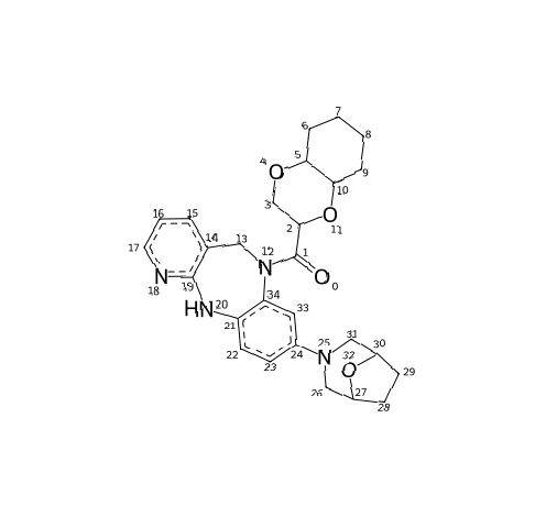 O=C(C1COC2CCCCC2O1)N1Cc2cccnc2Nc2ccc(N3CC4CCC(C3)O4)cc21